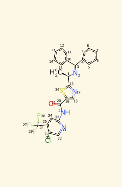 C[C@@H](N=C(c1ccccc1)c1ccccc1)c1ncc(C(=O)Nc2cc(C(F)(F)F)c(Cl)cn2)s1